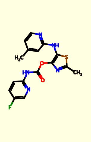 Cc1ccnc(Nc2sc(C)nc2OC(=O)Nc2ccc(F)cn2)c1